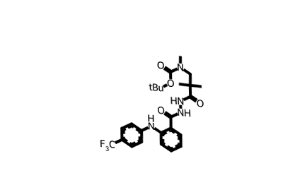 CN(CC(C)(C)C(=O)NNC(=O)c1ccccc1Nc1ccc(C(F)(F)F)cc1)C(=O)OC(C)(C)C